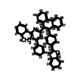 CC1C=CC=CC1c1nc(-c2ccccc2)nc(-c2c(-c3ccc(-c4nc5ccccc5o4)cc3)c3ccccc3c3ccccc23)n1